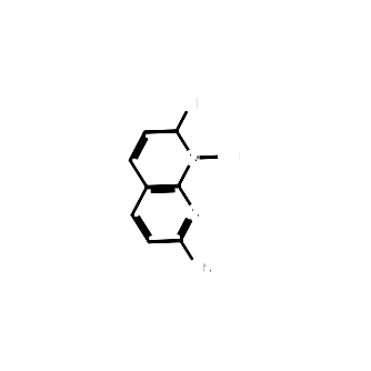 N#Cc1ccc2c(n1)N(O)C(Cl)C=C2